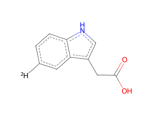 [2H]c1ccc2[nH]cc(CC(=O)O)c2c1